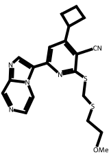 COCCSCSc1nc(-c2cnc3cnccn23)cc(C2CCC2)c1C#N